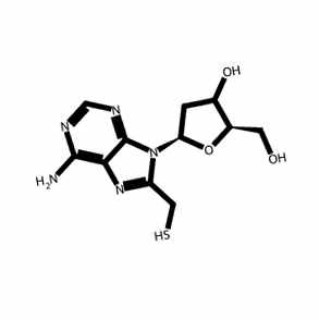 Nc1ncnc2c1nc(CS)n2[C@H]1CC(O)[C@@H](CO)O1